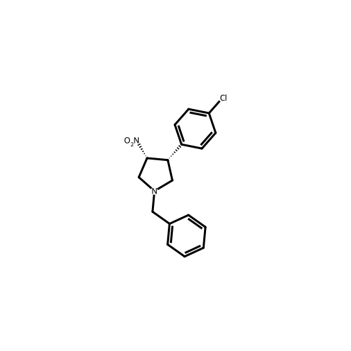 O=[N+]([O-])[C@H]1CN(Cc2ccccc2)C[C@H]1c1ccc(Cl)cc1